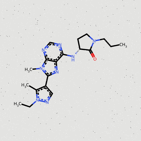 CCCN1CC[C@@H](Nc2ncnc3c2nc(-c2cnn(CC)c2C)n3C)C1=O